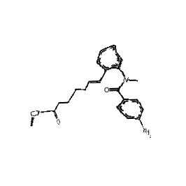 COC(=O)CCCCC=Cc1ccccc1N(C)C(=O)c1ccc(N)cc1